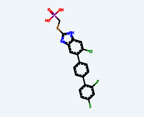 O=P(O)(O)CSc1nc2cc(-c3ccc(-c4ccc(F)cc4F)cc3)c(Cl)cc2[nH]1